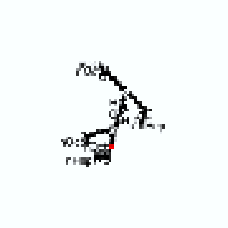 CCCCCCCCC(CCCCCCCC)OC(=O)CCCCCCCN(CCCCCCCC(=O)OCC(C)CCCCCCC)CCNC(=O)CCC(=O)NCCN(CCCCCCCC(=O)OCC(C)CCCCCCC)CCCCCCCC(=O)OC(CCCCCCCC)CCCCCCCC